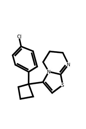 Clc1ccc(C2(C3=CSC4=NCCCN34)CCC2)cc1